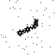 CN(CCc1ccc(OCc2ccccc2)cc1)CC(=O)OC(C)(C)C